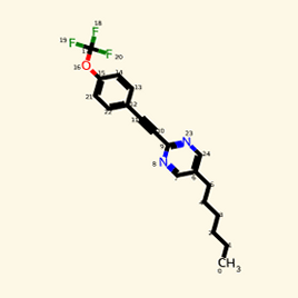 CCCCCCc1cnc(C#Cc2ccc(OC(F)(F)F)cc2)nc1